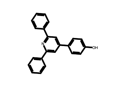 Oc1ccc(-c2cc(-c3ccccc3)nc(-c3ccccc3)c2)cc1